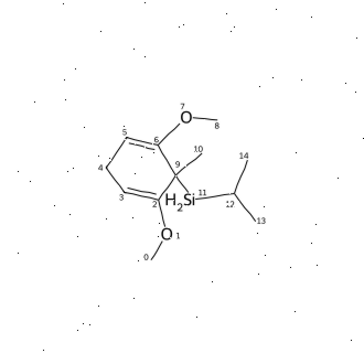 COC1=CCC=C(OC)C1(C)[SiH2]C(C)C